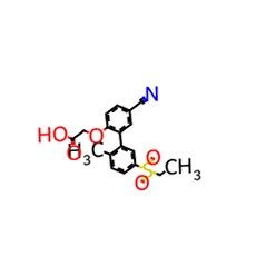 CCS(=O)(=O)c1ccc(C)c(-c2cc(C#N)ccc2OCC(=O)O)c1